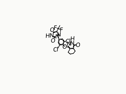 CC(F)(F)c1nn(-c2cc(Cl)c(Oc3n[nH]c(=O)c4c3CCCC4)c(Cl)c2)c(=O)[nH]c1=O